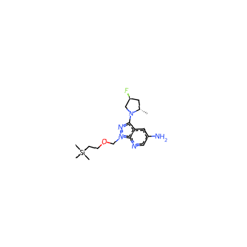 C[C@H]1C[C@H](F)CN1c1nn(COCC[Si](C)(C)C)c2ncc(N)cc12